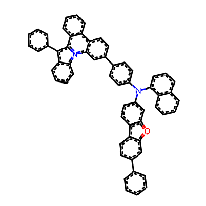 c1ccc(-c2ccc3c(c2)oc2cc(N(c4ccc(-c5ccc6c7ccccc7c7c(-c8ccccc8)c8ccccc8n7c6c5)cc4)c4cccc5ccccc45)ccc23)cc1